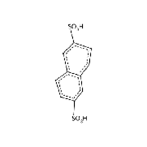 O=S(=O)(O)c1ccc2cc(S(=O)(=O)O)ccc2c1